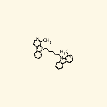 Cc1nccc2c3ccccc3n(CCCCCn3c4ccccc4c4ccnc(C)c43)c12